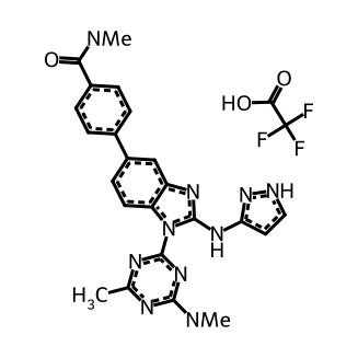 CNC(=O)c1ccc(-c2ccc3c(c2)nc(Nc2cc[nH]n2)n3-c2nc(C)nc(NC)n2)cc1.O=C(O)C(F)(F)F